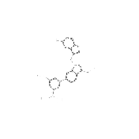 CNc1cc(-c2ccc3c(CC(=O)O)cn(Cc4csc5ccc(Cl)cc45)c3c2)cc(N(C)C)c1